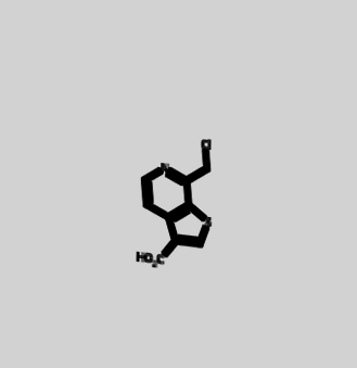 O=C(O)c1csc2c(CCl)nccc12